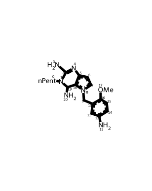 CCCCCN1C(N)=Nc2ccn(Cc3cc(N)ccc3OC)c2C1N